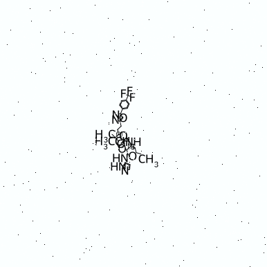 CCCC[C@H](NC(=O)O[C@H](CCc1nnc(-c2ccc(C(F)(F)F)cc2)o1)C(C)(C)C)C(=O)C(=O)Nc1ccn[nH]1